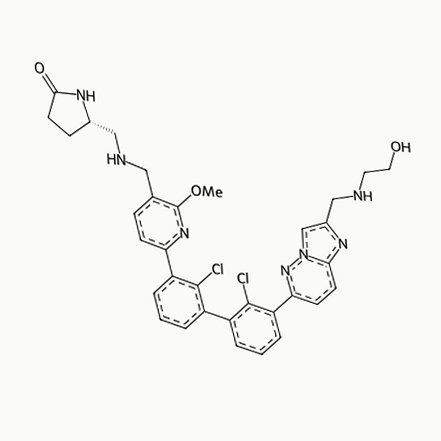 COc1nc(-c2cccc(-c3cccc(-c4ccc5nc(CNCCO)cn5n4)c3Cl)c2Cl)ccc1CNC[C@@H]1CCC(=O)N1